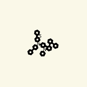 c1ccc(-c2ccc(N(c3ccc4c(c3)sc3ccccc34)c3ccc4c5c(-c6ccccc6-c6ccccc6)cccc5n(-c5ccccc5)c4c3)cc2)cc1